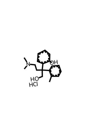 Cc1ccccc1C(CO)(CCN(C)C)c1ccccc1O.Cl